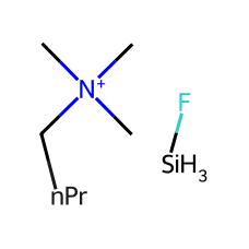 CCCC[N+](C)(C)C.F[SiH3]